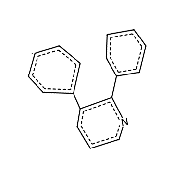 [c]1ccc(-c2cccnc2-c2ccccc2)cc1